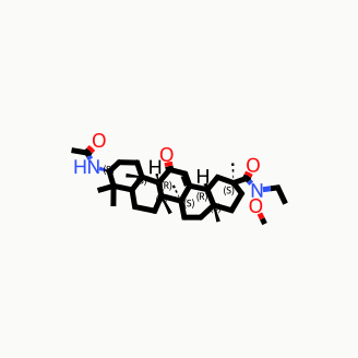 CCN(OC)C(=O)[C@@]1(C)CC[C@]2(C)CC[C@]3(C)C(=CC(=O)[C@@H]4[C@@]5(C)CC[C@H](NC(C)=O)C(C)(C)C5CC[C@]43C)[C@@H]2C1